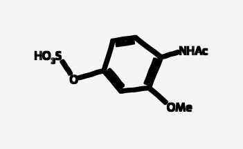 COc1cc(OS(=O)(=O)O)ccc1NC(C)=O